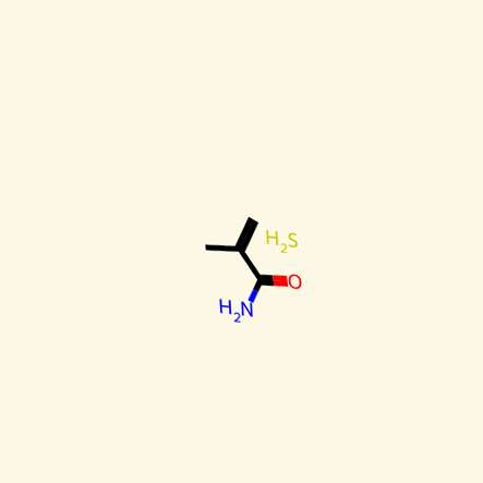 C=C(C)C(N)=O.S